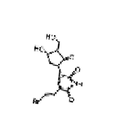 O=C1C(CO)C(O)CC1n1cc(C=CBr)c(=O)[nH]c1=O